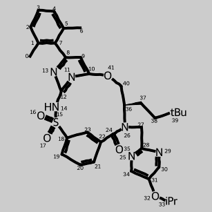 Cc1cccc(C)c1-c1cc2nc(n1)NS(=O)(=O)c1cccc(c1)C(=O)N(Cc1ncc(OC(C)C)cn1)[C@H](CCC(C)(C)C)CO2